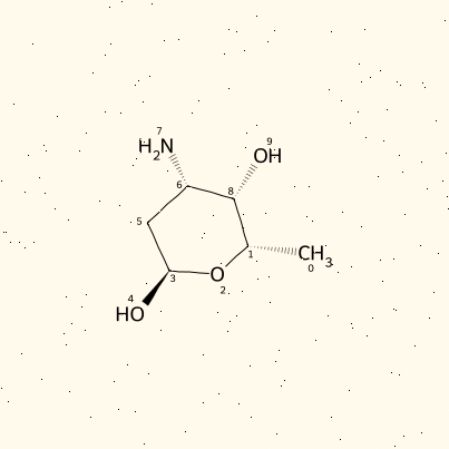 C[C@@H]1O[C@@H](O)C[C@H](N)[C@@H]1O